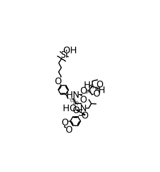 CC(C)CN(C[C@@H](O)[C@H](Cc1ccc(OCCCCC(C)(C)[Si](C)(C)O)cc1)NC(=O)O[C@H]1CO[C@H]2OCC[C@H]21)S(=O)(=O)c1ccc2c(c1)OCO2